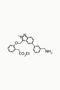 CCOC(=O)Cc1ccccc1OCc1c2cc(-c3cccc(CN)c3)ccc2nn1C